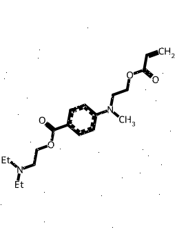 C=CC(=O)OCCN(C)c1ccc(C(=O)OCCN(CC)CC)cc1